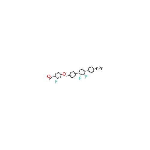 CCCc1ccc(-c2ccc(-c3ccc(COc4ccc(C5CO5)c(F)c4)cc3)c(F)c2F)cc1